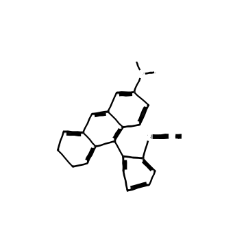 CCN(CC)c1ccc2c(-c3ccccc3N=C=O)c3c(cc2c1)=CCCC=3